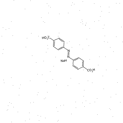 O=C(O)c1ccc(/N=N/c2ccc(C(=O)O)cc2)cc1.[NaH]